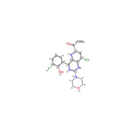 COC(=O)c1cc(Cl)c2nc(N3CCOCC3)nc(-c3cccc(F)c3O)c2n1